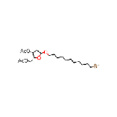 CC(=O)OC[C@H]1OC(OCCCCCCCCCCCBr)C[C@@H]1OC(C)=O